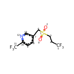 O=S(=O)(CCC(F)(F)F)Cc1ccc(C(F)(F)F)nc1